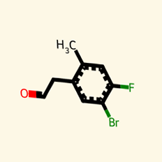 Cc1cc(F)c(Br)cc1CC=O